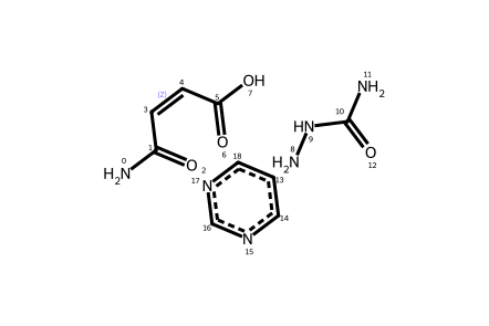 NC(=O)/C=C\C(=O)O.NNC(N)=O.c1cncnc1